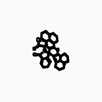 O=C(O)CN1C(=O)c2ccccc2C12c1cc3c4c(c1Oc1c2cc2c5c1CCCN5CCC2)CCCN4CCC3